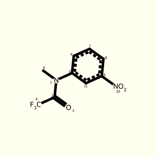 CN(C(=O)C(F)(F)F)c1cccc([N+](=O)[O-])c1